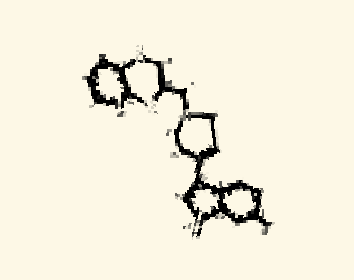 Fc1ccc2c(C3=CCN(CC4COc5cccnc5O4)CC3)c[nH]c2c1